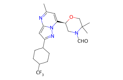 Cc1cc([C@@H]2CN(C=O)C(C)(C)CO2)n2nc(C3CCC(C(F)(F)F)CC3)cc2n1